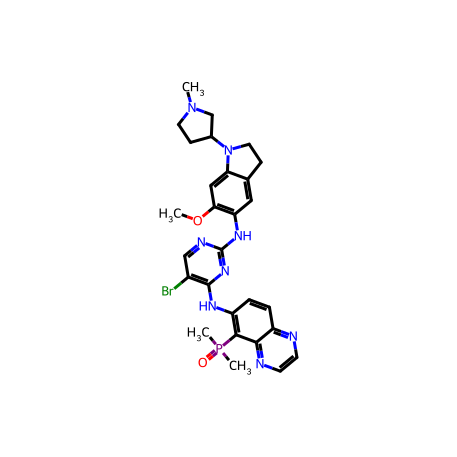 COc1cc2c(cc1Nc1ncc(Br)c(Nc3ccc4nccnc4c3P(C)(C)=O)n1)CCN2C1CCN(C)C1